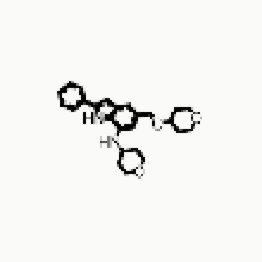 c1ccc(-c2cc3cc(COC4CCOCC4)cc(NC4CCOCC4)c3[nH]2)cc1